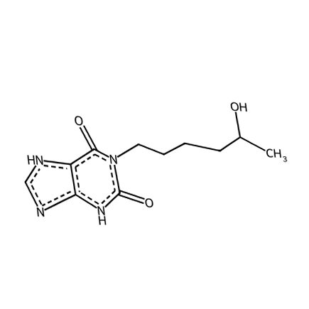 CC(O)CCCCn1c(=O)[nH]c2nc[nH]c2c1=O